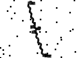 CCCCCCCCCCCCCCCCCCNC(=O)NCCCCCCCCCCCCCCCCCC